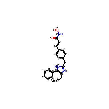 COCc1nc(Cc2ccc(/C=C/C(=O)NO)cc2)[nH]c1-c1ccccc1